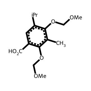 COCOc1c(C(=O)O)cc(C(C)C)c(OCOC)c1C